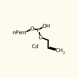 C=CCOP(O)OCCCCC.[Cd]